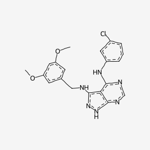 COc1cc(CNc2n[nH]c3ncnc(Nc4cccc(Cl)c4)c23)cc(OC)c1